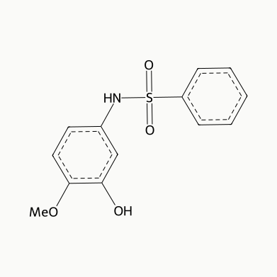 COc1ccc(NS(=O)(=O)c2ccccc2)cc1O